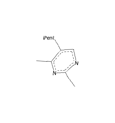 CCCC(C)c1cnc(C)nc1C